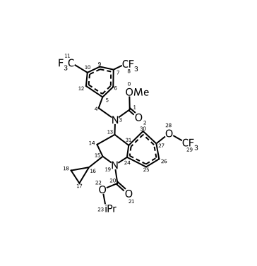 COC(=O)N(Cc1cc(C(F)(F)F)cc(C(F)(F)F)c1)C1CC(C2CC2)N(C(=O)OC(C)C)c2ccc(OC(F)(F)F)cc21